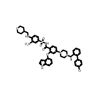 C[C@H](c1ccccc1-c1ccc(Cl)cc1)N1CCN(c2ccc(C(=O)NS(=O)(=O)c3ccc(NCC4CCOCC4)c([N+](=O)[O-])c3)c(Oc3cccc4[nH]ccc34)c2)CC1